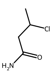 CC(Cl)CC(N)=O